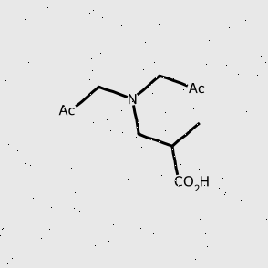 CC(=O)CN(CC(C)=O)CC(C)C(=O)O